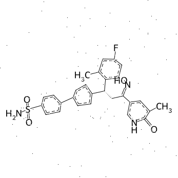 Cc1cc(F)ccc1[C@H](C/C(=N\O)c1c[nH]c(=O)c(C)c1)c1ccc(-c2ccc(S(N)(=O)=O)cc2)cc1